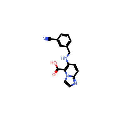 N#Cc1cccc(CNc2ccc3nccn3c2C(=O)O)c1